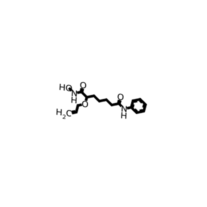 C=CCOC(CCCCC(=O)Nc1ccccc1)C(=O)NO